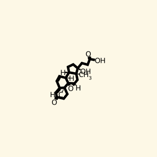 C[C@]12CCC(=O)C=C1C=C[C@H]1[C@@H]3CC[C@](O)(CCC(=O)O)[C@@]3(C)C[C@H]3OC312